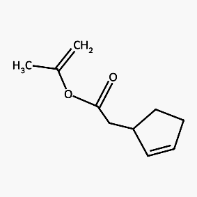 C=C(C)OC(=O)CC1C=CCC1